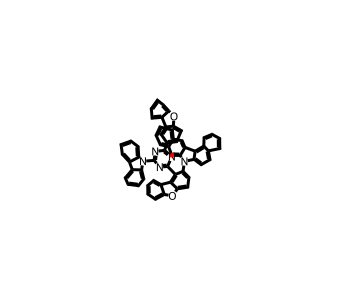 c1ccc2cc3c(cc2c1)c1c2ccccc2ccc1n3-c1ccc2oc3ccccc3c2c1-c1nc(-c2ccc3oc4ccccc4c3c2)nc(-n2c3ccccc3c3ccccc32)n1